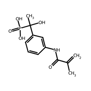 C=C(C)C(=O)Nc1cccc(C(C)(O)P(=O)(O)O)c1